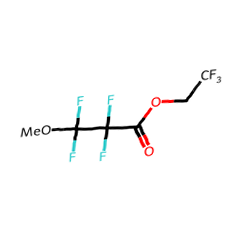 COC(F)(F)C(F)(F)C(=O)OCC(F)(F)F